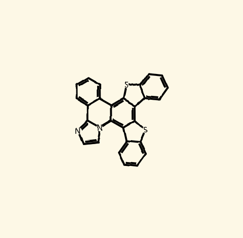 c1ccc2c(c1)sc1c2c2sc3ccccc3c2c2c1c1ccccc1c1nccn12